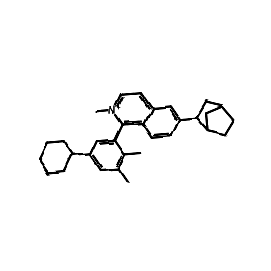 Cc1cc(C2CCCCC2)cc(-c2c3ccc(C4CC5CCC4C5)cc3cc[n+]2C)c1C